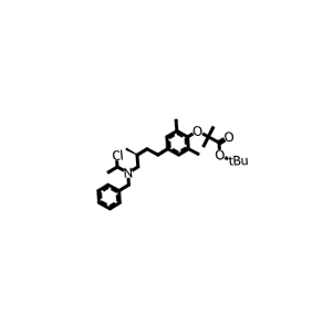 Cc1cc(CC[C@H](C)CN(Cc2ccccc2)C(C)Cl)cc(C)c1OC(C)(C)C(=O)OC(C)(C)C